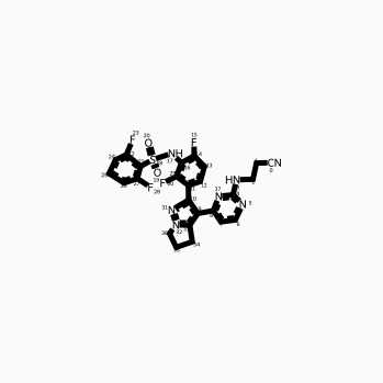 N#CCCNc1nccc(-c2c(-c3ccc(F)c(NS(=O)(=O)c4c(F)cccc4F)c3F)nn3c2CCC3)n1